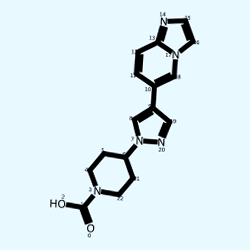 O=C(O)N1CCC(n2cc(-c3ccc4nccn4c3)cn2)CC1